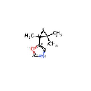 CC1(C)CC1(C)c1cnco1